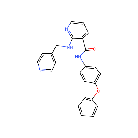 O=C(Nc1ccc(Oc2ccccc2)cc1)c1cccnc1NCc1ccncc1